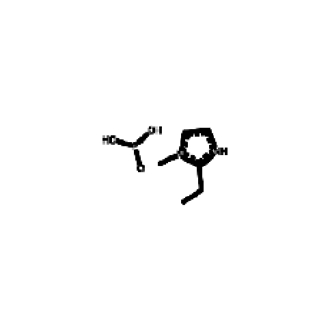 CCc1[nH]cc[n+]1C.[O-]P(O)O